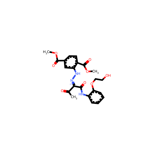 COC(=O)c1ccc(C(=O)OC)c(N/N=C(/C(C)=O)C(=O)Nc2ccccc2OCCO)c1